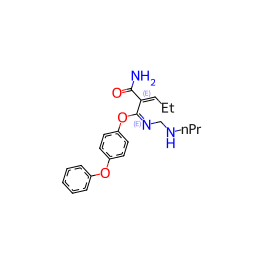 CC/C=C(C(N)=O)\C(=N/CNCCC)Oc1ccc(Oc2ccccc2)cc1